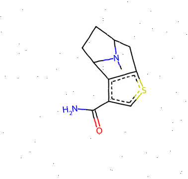 CN1C2CCC1c1c(C(N)=O)csc1C2